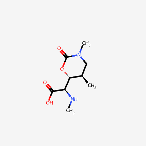 CN[C@@H](C(=O)O)[C@@H]1OC(=O)N(C)C[C@H]1C